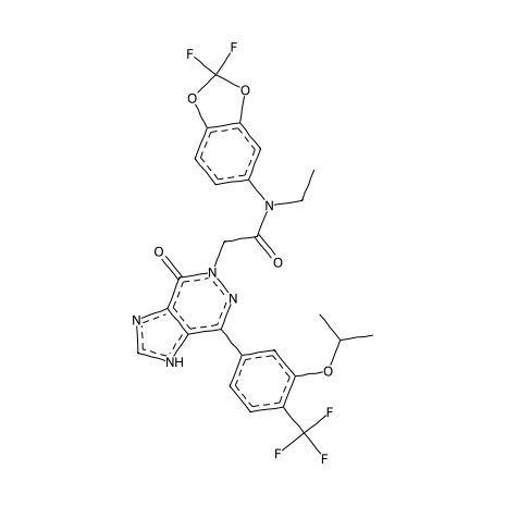 CCN(C(=O)Cn1nc(-c2ccc(C(F)(F)F)c(OC(C)C)c2)c2[nH]cnc2c1=O)c1ccc2c(c1)OC(F)(F)O2